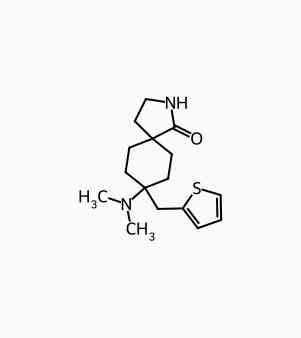 CN(C)C1(Cc2cccs2)CCC2(CCNC2=O)CC1